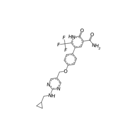 NC(=O)c1cc(-c2ccc(OCc3cnc(NCC4CC4)nc3)cc2)c(C(F)(F)F)[nH]c1=O